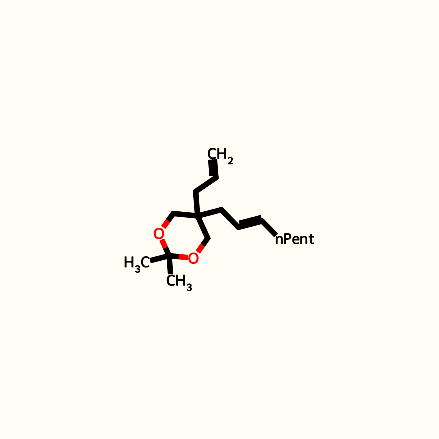 C=CCC1(CC=CCCCCC)COC(C)(C)OC1